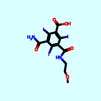 COCCNC(=O)c1c(I)c(C(N)=O)c(I)c(C(=O)O)c1I